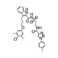 Cc1ccc(-n2cc(C(=O)NCCS(=O)(=O)NC(=O)c3[nH]c4ccccc4c3CCCOc3cc(C)c(Cl)c(C)c3)nn2)cc1